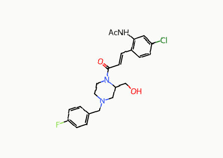 CC(=O)Nc1cc(Cl)ccc1C=CC(=O)N1CCN(Cc2ccc(F)cc2)CC1CO